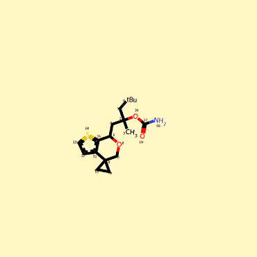 CC(C)(C)CC(C)(CC1OCC2(CC2)c2ccsc21)OC(N)=O